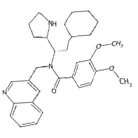 COc1ccc(C(=O)N(Cc2cnc3ccccc3c2)[C@@H](CC2CCCCC2)C2CCCN2)cc1OC